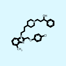 Cc1cccc2c1nc(COc1ccc(Cl)cc1)n2CCCC1CCN(CCC(O)c2ccccc2)CC1